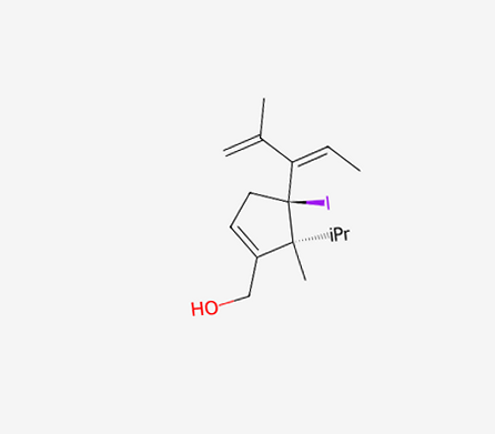 C=C(C)/C(=C/C)[C@@]1(I)CC=C(CO)[C@@]1(C)C(C)C